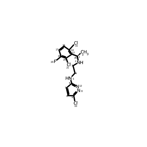 C[C@@H](NCCNc1ccc(Cl)nn1)c1c(Cl)ccc(F)c1Cl